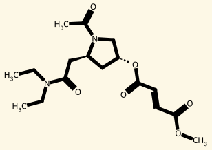 CCN(CC)C(=O)C[C@@H]1C[C@@H](OC(=O)/C=C/C(=O)OC)CN1C(C)=O